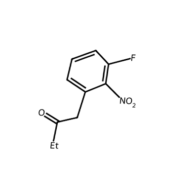 CCC(=O)Cc1cccc(F)c1[N+](=O)[O-]